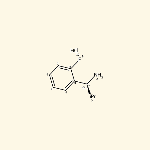 CC(C)[C@H](N)c1ccccc1F.Cl